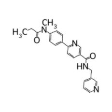 CCC(=O)N(C)c1ccc(-c2ccc(C(=O)NCc3cccnc3)cn2)cc1